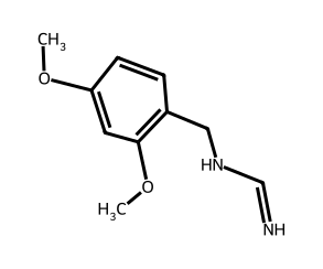 COc1ccc(CNC=N)c(OC)c1